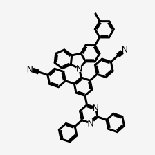 Cc1cccc(-c2ccc3c(c2)c2ccccc2n3-c2c(-c3ccc(C#N)cc3)cc(-c3cc(-c4ccccc4)nc(-c4ccccc4)n3)cc2-c2ccc(C#N)cc2)c1